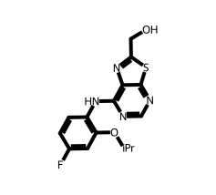 CC(C)Oc1cc(F)ccc1Nc1ncnc2sc(CO)nc12